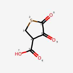 O=C1SCC(C(=O)O)C1=O